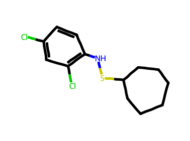 Clc1ccc(NSC2CCCCCC2)c(Cl)c1